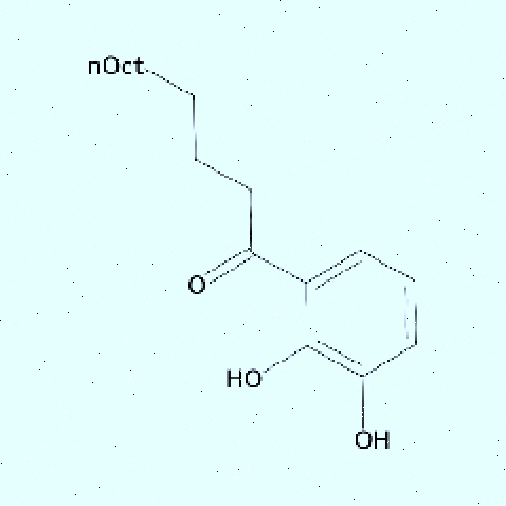 CCCCCCCCCCCC(=O)c1cccc(O)c1O